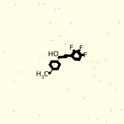 CC[C@H]1CC[C@H](C(O)C#Cc2ccc(F)c(F)c2F)CC1